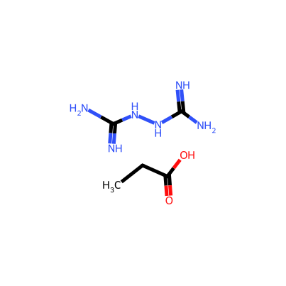 CCC(=O)O.N=C(N)NNC(=N)N